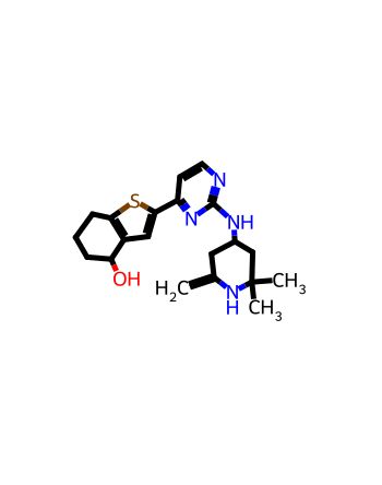 C=C1CC(Nc2nccc(-c3cc4c(s3)CCCC4O)n2)CC(C)(C)N1